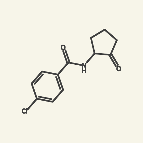 O=C(NC1CCCC1=O)c1ccc(Cl)cc1